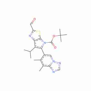 Cc1c(-c2c(C(C)C)c3nc(C=O)sc3n2C(=O)OC(C)(C)C)cn2ncnc2c1C